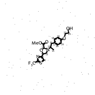 COC(=O)C1OC(c2csc(C(F)(F)F)n2)CN1C(C)Cc1ccc(OCCO)cc1